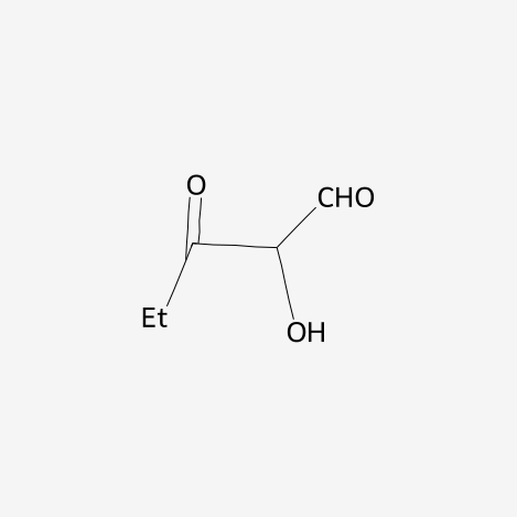 CCC(=O)C(O)C=O